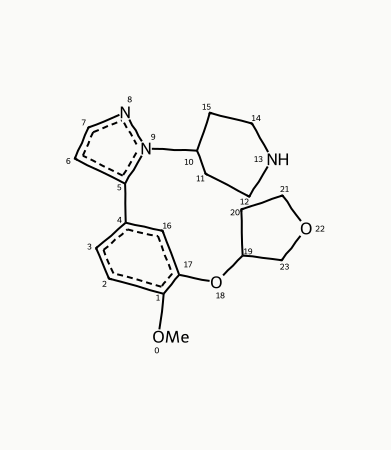 COc1ccc(-c2ccnn2C2CCNCC2)cc1OC1CCOC1